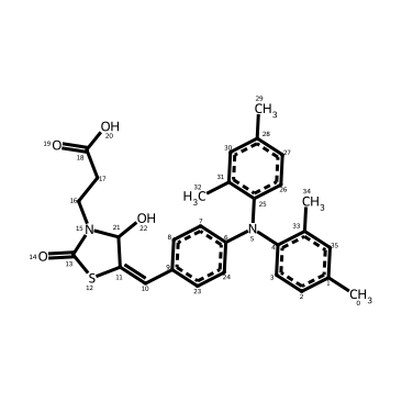 Cc1ccc(N(c2ccc(/C=C3/SC(=O)N(CCC(=O)O)C3O)cc2)c2ccc(C)cc2C)c(C)c1